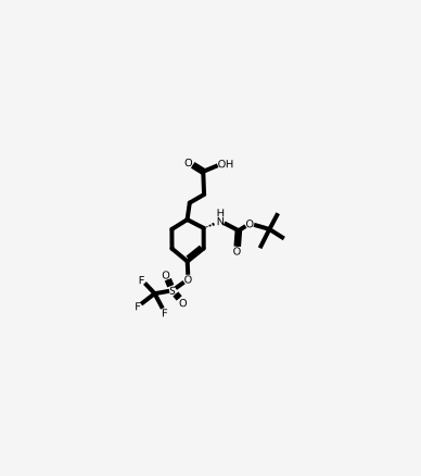 CC(C)(C)OC(=O)N[C@@H]1C=C(OS(=O)(=O)C(F)(F)F)CCC1CCC(=O)O